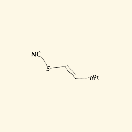 CCCC=CSC#N